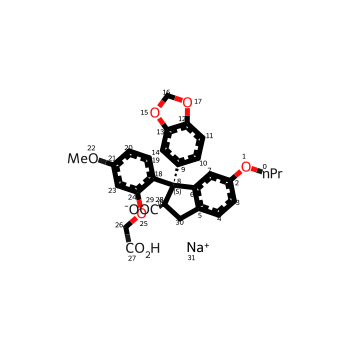 CCCOc1ccc2c(c1)[C@](c1ccc3c(c1)OCO3)(c1ccc(OC)cc1OCC(=O)O)[C@H](C(=O)[O-])C2.[Na+]